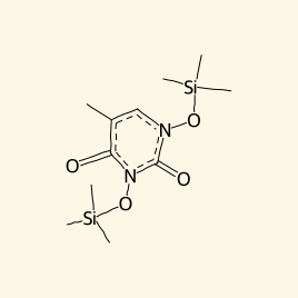 Cc1cn(O[Si](C)(C)C)c(=O)n(O[Si](C)(C)C)c1=O